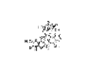 CCSSC(C)c1ccccc1C(=O)O[C@@H]1C[C@H](n2cc(C)c(=O)[nH]c2=O)OC1COP(=O)(O)OP(=O)(O)OP(=O)(O)O